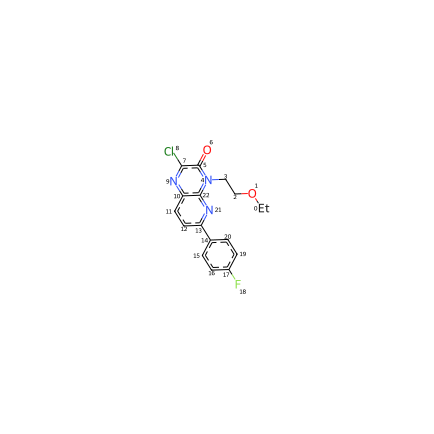 CCOCCn1c(=O)c(Cl)nc2ccc(-c3ccc(F)cc3)nc21